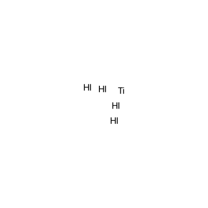 I.I.I.I.[Ti]